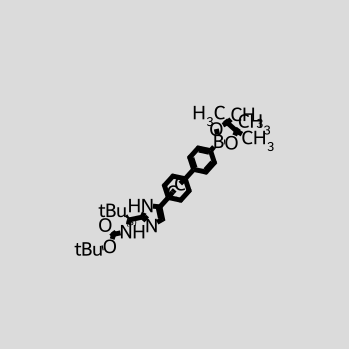 CC(C)(C)OC(=O)N[C@H](c1ncc(C23CCC(c4ccc(B5OC(C)(C)C(C)(C)O5)cc4)(CC2)CC3)[nH]1)C(C)(C)C